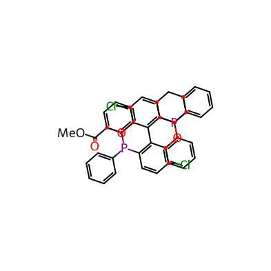 COC(=O)COc1c(Cl)ccc(P(c2ccccc2)c2ccccc2)c1-c1c(P(c2ccccc2)c2ccccc2)ccc(Cl)c1OC1CCCCC1